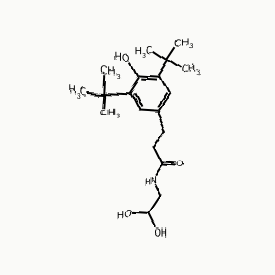 CC(C)(C)c1cc(CCC(=O)NCC(O)O)cc(C(C)(C)C)c1O